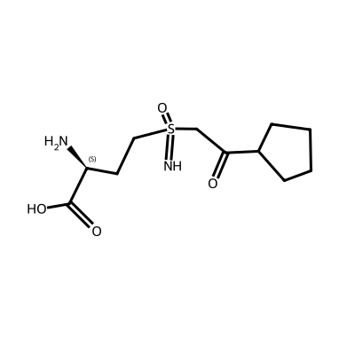 N=S(=O)(CC[C@H](N)C(=O)O)CC(=O)C1CCCC1